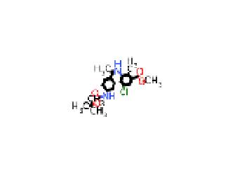 COC(=O)c1cc(Cl)cc(N[C@H](C)C2CCC(NC(=O)OC(C)(C)C)CC2)c1C